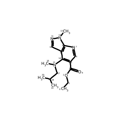 CCOC(=O)c1cnc2c(cnn2C)c1N(C)CC(C)C